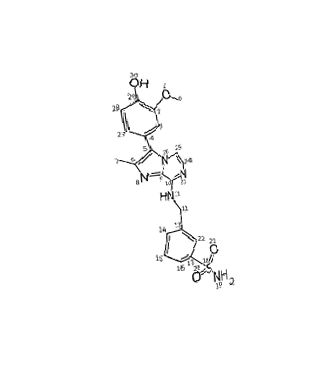 COc1cc(-c2c(C)nc3c(NCc4cccc(S(N)(=O)=O)c4)nccn23)ccc1O